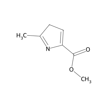 COC(=O)C1=CCC(C)=N1